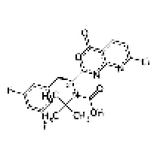 CC(C)(C)N(C(=O)O)[C@@H](Cc1cc(F)cc(F)c1)c1nc2nc(Cl)ccc2c(=O)o1